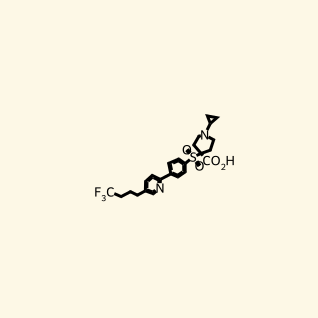 O=C(O)C1(S(=O)(=O)c2ccc(-c3ccc(CCCC(F)(F)F)cn3)cc2)CCN(C2CC2)CC1